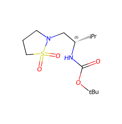 CC(C)[C@@H](CN1CCCS1(=O)=O)NC(=O)OC(C)(C)C